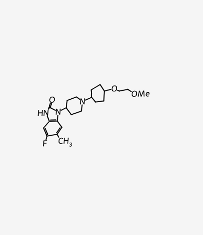 COCCOC1CCC(N2CCC(n3c(=O)[nH]c4cc(F)c(C)cc43)CC2)CC1